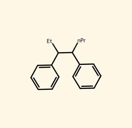 CCCC(c1ccccc1)C(CC)c1ccccc1